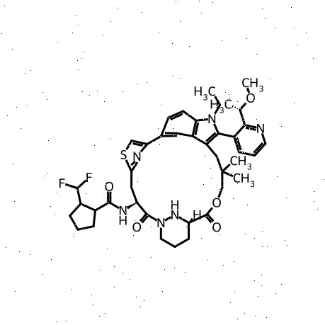 CCn1c(-c2cccnc2[C@H](C)OC)c2c3cc(ccc31)-c1csc(n1)C[C@H](NC(=O)C1CCCC1C(F)F)C(=O)N1CCC[C@H](N1)C(=O)OCC(C)(C)C2